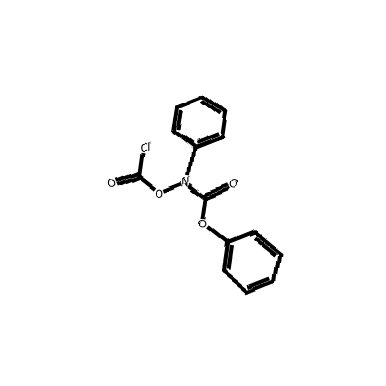 O=C(Cl)ON(C(=O)Oc1ccccc1)c1ccccc1